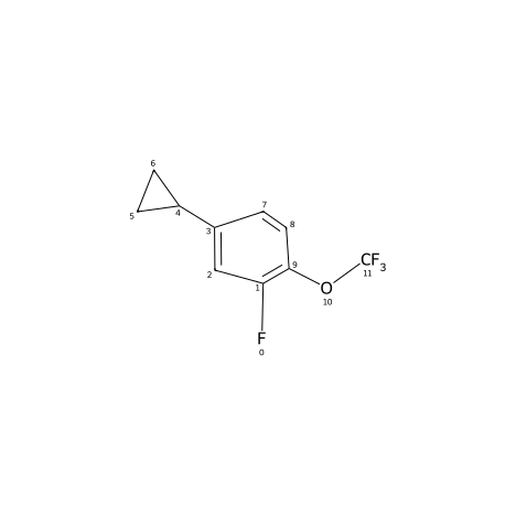 Fc1cc(C2CC2)ccc1OC(F)(F)F